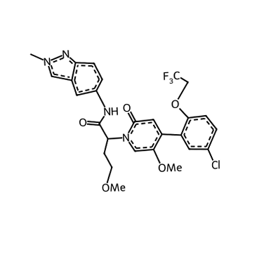 COCCC(C(=O)Nc1ccc2nn(C)cc2c1)n1cc(OC)c(-c2cc(Cl)ccc2OCC(F)(F)F)cc1=O